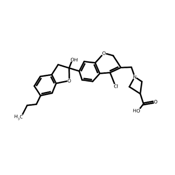 CCCc1ccc2c(c1)OC(O)(c1ccc3c(c1)OCC(CN1CC(C(=O)O)C1)=C3Cl)C2